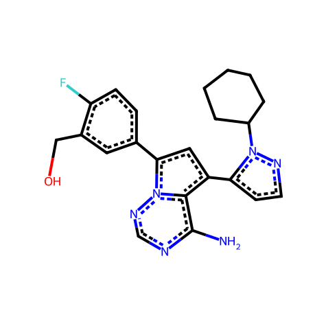 Nc1ncnn2c(-c3ccc(F)c(CO)c3)cc(-c3ccnn3C3CCCCC3)c12